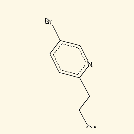 CC(=O)OCCc1ccc(Br)cn1